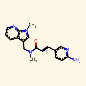 CN(Cc1cn(C)c2ncccc12)C(=O)/C=C/c1ccc(N)nc1